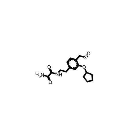 NC(=O)C(=O)NCCc1ccc(C[S+]=O)c(OC2CCCC2)c1